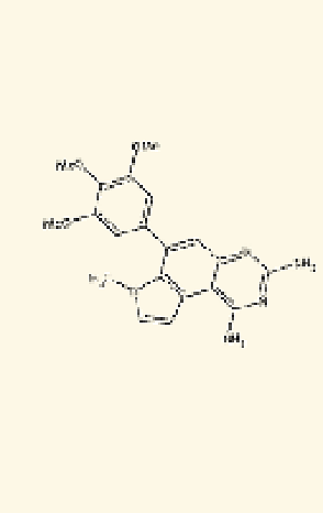 COc1cc(-c2cc3nc(N)nc(N)c3c3ccn(C)c23)cc(OC)c1OC